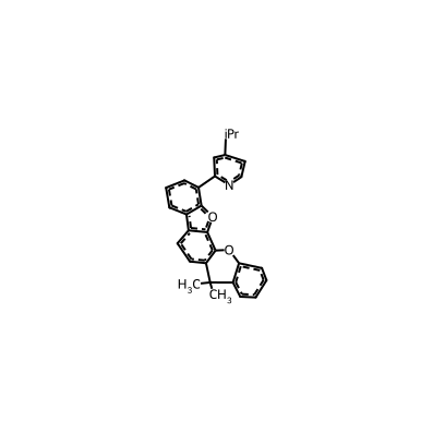 CC(C)c1ccnc(-c2cccc3c2oc2c4c(ccc23)C(C)(C)c2ccccc2O4)c1